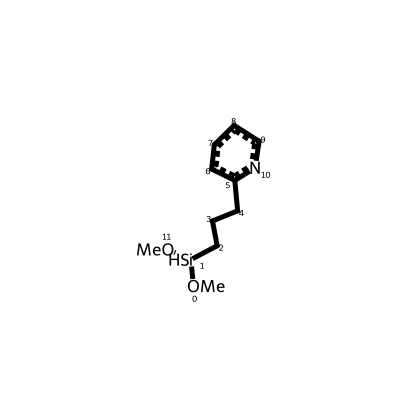 CO[SiH](CCCc1ccccn1)OC